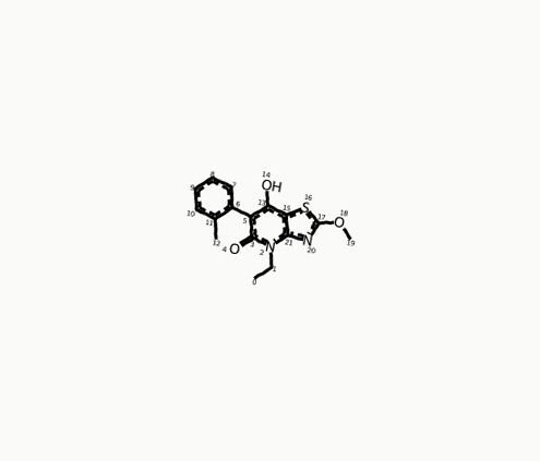 CCn1c(=O)c(-c2ccccc2C)c(O)c2sc(OC)nc21